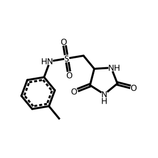 Cc1cccc(NS(=O)(=O)CC2NC(=O)NC2=O)c1